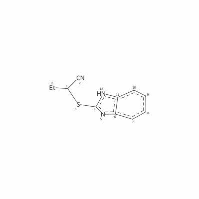 CCC(C#N)Sc1nc2ccccc2[nH]1